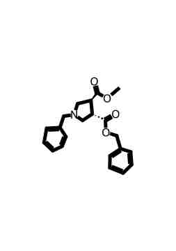 COC(=O)[C@@H]1CN(Cc2ccccc2)C[C@H]1C(=O)OCc1ccccc1